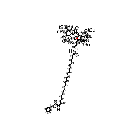 CCCCN(C(=O)OC(C)(C)C)C(C(CCCCCCNC(=O)CCCCCCCCCCCCCCCCCCCCCC(C)NC(=O)OCc1ccccc1)CN(CCCC(N(C)C(=O)OC(C)(C)C)N(CCC)C(=O)OC(C)(C)C)C(=O)OC(C)(C)C)(N(C)C(=O)OC(C)(C)C)N(CCC)C(=O)OC(C)(C)C